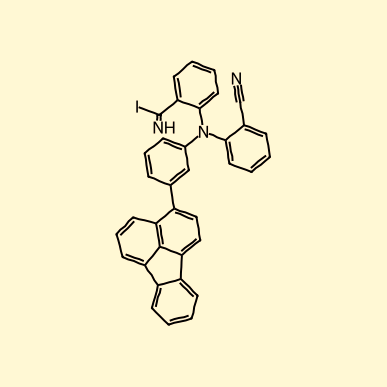 N#Cc1ccccc1N(c1cccc(-c2ccc3c4c(cccc24)-c2ccccc2-3)c1)c1ccccc1C(=N)I